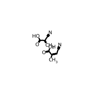 C=C(C#N)C(=O)O.CC(=CC#N)C(=O)O